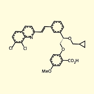 COc1ccc(OC[C@@H](OCC2CC2)c2cccc(/C=C/c3ccc4ccc(Cl)c(Cl)c4n3)c2)c(C(=O)O)c1